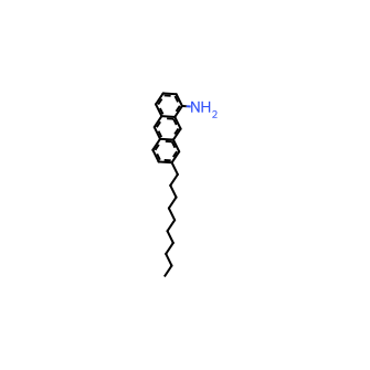 CCCCCCCCCCc1ccc2cc3cccc(N)c3cc2c1